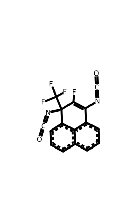 O=C=NC1=C(F)C(N=C=O)(C(F)(F)F)c2cccc3cccc1c23